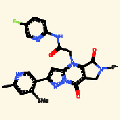 CSc1cc(C)ncc1-c1cc2n(CC(=O)Nc3ccc(F)cn3)c3c(c(=O)n2n1)CN(C(C)C)C3=O